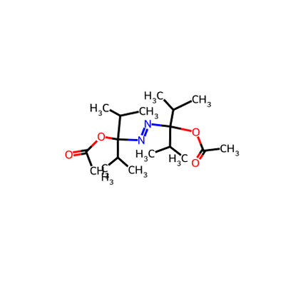 CC(=O)OC(N=NC(OC(C)=O)(C(C)C)C(C)C)(C(C)C)C(C)C